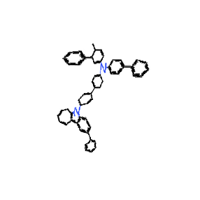 CC1C=CC(N(C2=CC=C(C3=CCC(n4c5c(c6cc(-c7ccccc7)ccc64)C=CC=CC5)C=C3)CC2)c2ccc(-c3ccccc3)cc2)=CC1c1ccccc1